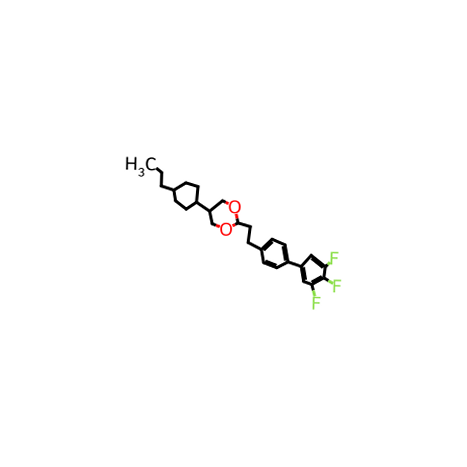 CCCC1CCC(C2COC(CCc3ccc(-c4cc(F)c(F)c(F)c4)cc3)OC2)CC1